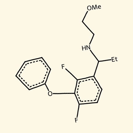 CCC(NCCOC)c1ccc(F)c(Oc2ccccc2)c1F